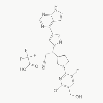 N#CC[C@@H]([C@H]1CCN(c2nc(Cl)c(CO)cc2F)C1)n1cc(-c2ncnc3[nH]ccc23)cn1.O=C(O)C(F)(F)F